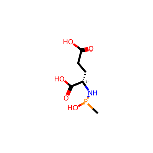 CP(O)N[C@@H](CCC(=O)O)C(=O)O